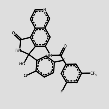 O=C(Nc1cc2cnccc2c2c1C(O)(c1cc(F)ccc1Cl)NC2=O)c1cc(F)cc(C(F)(F)F)c1